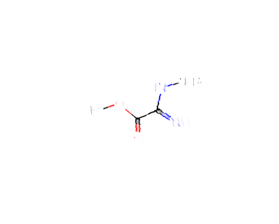 CCOC(=O)C(=N)NNC(C)=O